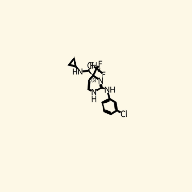 CC(NC1CC1)[C@]1(C(F)(F)F)C=CNC(Nc2cccc(Cl)c2)=N1